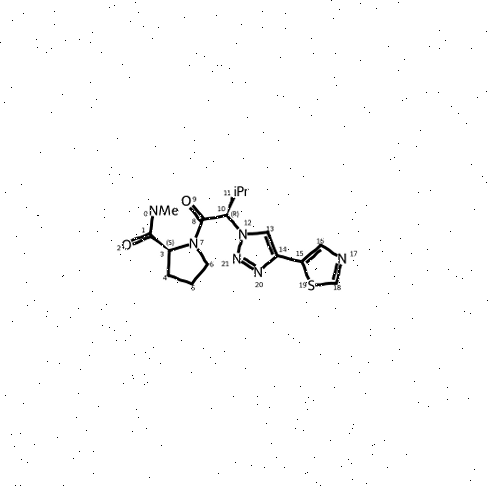 CNC(=O)[C@@H]1CCCN1C(=O)[C@@H](C(C)C)n1cc(-c2cncs2)nn1